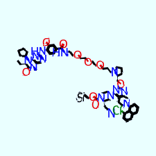 CC[C@@H]1C(=O)N(C)c2cnc(Nc3ccc(C(=O)NCCOCCOCCOCCCN4CCC[C@H]4COc4nc5c(c(N6CCN(C(=O)OCC[Si](C)(C)C)[C@@H](CC#N)C6)n4)CCN(c4cccc6cccc(Cl)c46)C5)cc3OC)nc2N1C1CCCC1